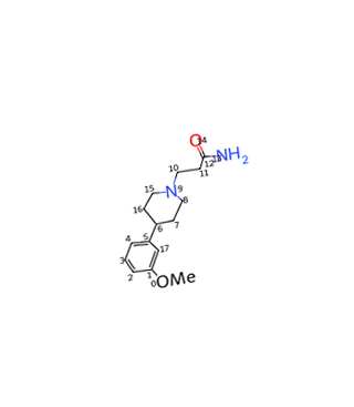 COc1cccc(C2CCN(CCC(N)=O)CC2)c1